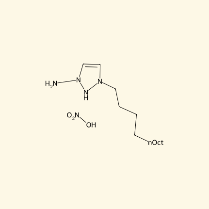 CCCCCCCCCCCCN1C=CN(N)N1.O=[N+]([O-])O